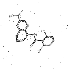 CC(O)c1cnc2c(NC(=O)c3c(Cl)cccc3Cl)cccc2c1